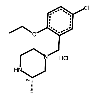 CCOc1ccc(Cl)cc1CN1CCN[C@@H](C)C1.Cl